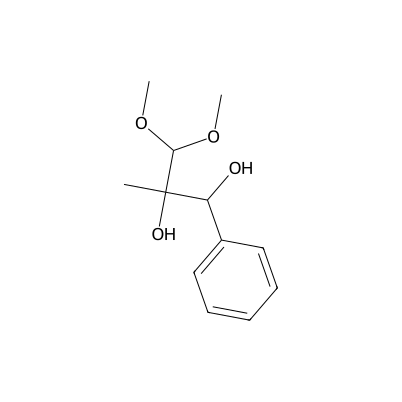 COC(OC)C(C)(O)C(O)c1ccccc1